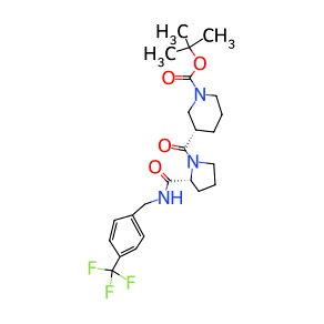 CC(C)(C)OC(=O)N1CCC[C@H](C(=O)N2CCC[C@@H]2C(=O)NCc2ccc(C(F)(F)F)cc2)C1